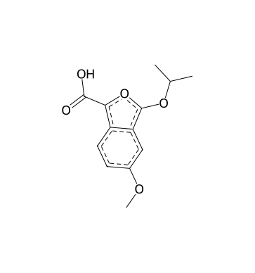 COc1ccc2c(C(=O)O)oc(OC(C)C)c2c1